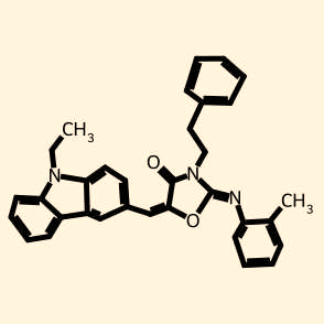 CCn1c2ccccc2c2cc(/C=C3/O/C(=N\c4ccccc4C)N(CCc4ccccc4)C3=O)ccc21